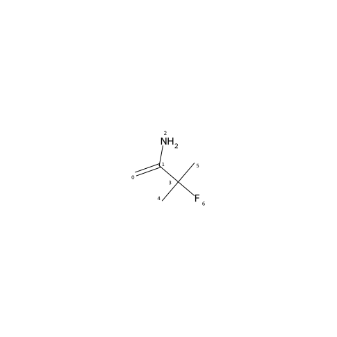 C=C(N)C(C)(C)F